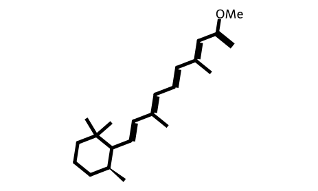 C=C(/C=C(C)/C=C/C=C(C)/C=C/C1[C@@H](C)CCCC1(C)C)OC